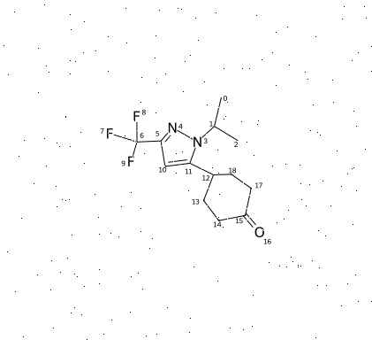 CC(C)n1nc(C(F)(F)F)cc1C1CCC(=O)CC1